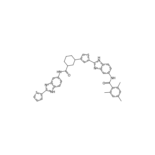 Cc1cc(C)c(C(=O)Nc2ccc3[nH]c(-c4cc(C5CCCC(C(=O)Nc6ccc7[nH]c(-c8cccs8)nc7c6)C5)cs4)nc3c2)c(C)c1